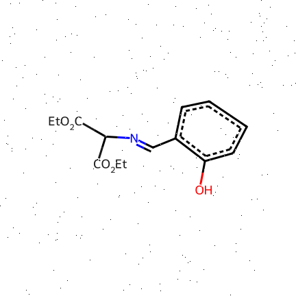 CCOC(=O)C(N=Cc1ccccc1O)C(=O)OCC